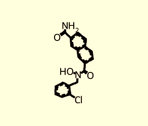 NC(=O)c1ccc2ccc(C(=O)N(O)Cc3ccccc3Cl)cc2c1